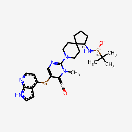 CN1C(=C=O)C(Sc2ccnc3[nH]ccc23)=CN=C1N1CCC2(CCC[C@H]2N[S@+]([O-])C(C)(C)C)CC1